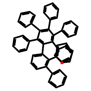 [c]1[c]c(-c2ccccc2)c(-c2ccccc2)c(-c2c(-c3ccccc3)c(-c3ccccc3)c(-c3ccccc3)c(-c3ccccc3)c2-c2ccccc2)c1